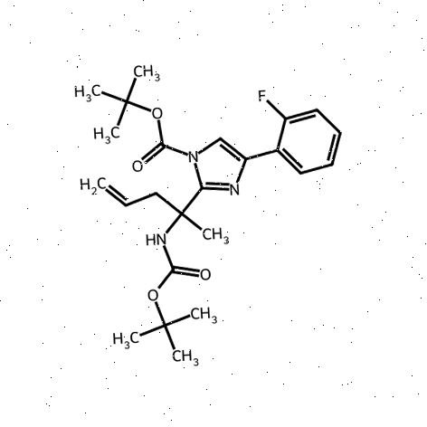 C=CCC(C)(NC(=O)OC(C)(C)C)c1nc(-c2ccccc2F)cn1C(=O)OC(C)(C)C